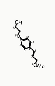 COCC=Cc1ccc(OCCO)cc1